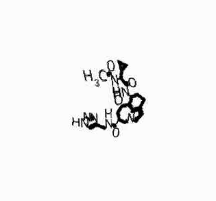 CC(=O)N[C@H](C(=O)N[C@H]1CCc2ccn3c2C1C(=O)C[C@H](C(=O)NCc1c[nH]nn1)C3)C1CC1